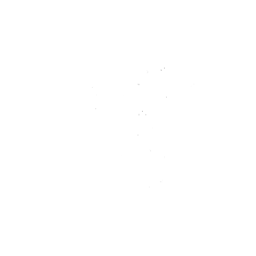 CCOC(=O)Cc1cn(CC2=CSC3C=CC(Cl)=CC23)c2cc(Br)ccc12